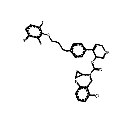 O=C(OC1CNCC=C1c1ccc(CCCOc2c(F)ccc(F)c2F)cc1)N(Cc1c(F)cccc1Cl)C1CC1